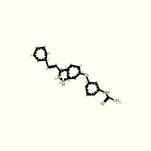 CC(=O)Nc1cccc(Oc2ccc3c(/C=C/c4ccccc4)n[nH]c3c2)c1